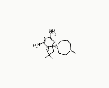 CN1CCCN(C2(CC(C)(C)C)N=C(N)N=C(N)N2)CC1